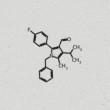 Cc1c(C(C)C)c(C=O)c(-c2ccc(F)cc2)n1Cc1ccccc1